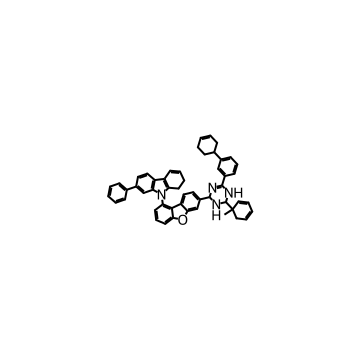 CC1(C2NC(c3cccc(C4CC=CCC4)c3)=NC(c3ccc4c(c3)oc3cccc(-n5c6c(c7ccc(-c8ccccc8)cc75)C=CCC6)c34)N2)C=CC=CC1